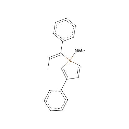 CC=C(c1ccccc1)S1(NC)C=CC(c2ccccc2)=C1